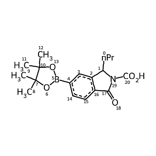 CCCC1c2cc(B3OC(C)(C)C(C)(C)O3)ccc2C(=O)N1C(=O)O